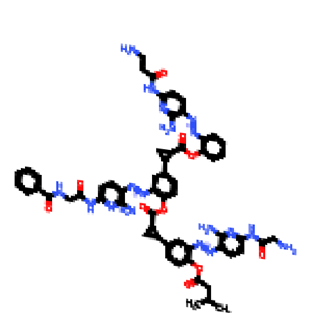 CC(C)CC(=O)Oc1ccc(C2CC2C(=O)Oc2ccc(C3CC3C(=O)Oc3ccccc3/N=N/c3ccc(NC(=O)CCN)nc3N)cc2/N=N/c2ccc(NC(=O)CNC(=O)c3ccccc3)nc2N)cc1/N=N/c1ccc(NC(=O)CN)nc1N